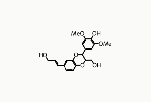 COc1cc(C2Oc3cc(C=CCO)ccc3OC2CO)cc(OC)c1O